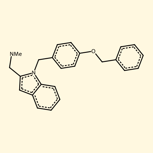 CNCc1cc2ccccc2n1Cc1ccc(OCc2ccccc2)cc1